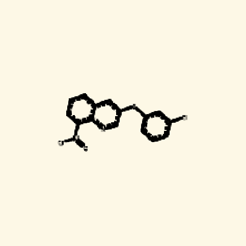 O=[N+]([O-])c1cccc2cc(Sc3cccc(Cl)c3)cnc12